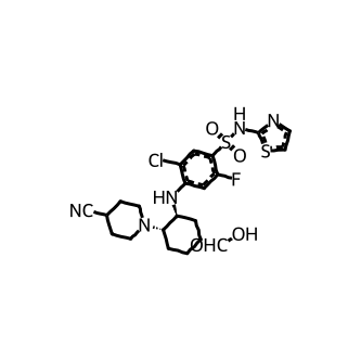 N#CC1CCN([C@H]2CCCC[C@@H]2Nc2cc(F)c(S(=O)(=O)Nc3nccs3)cc2Cl)CC1.O=CO